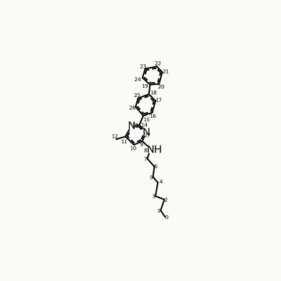 CCCCCCCCNc1cc(C)nc(-c2ccc(-c3ccccc3)cc2)n1